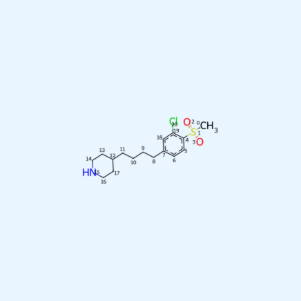 CS(=O)(=O)c1ccc(CCCCC2CCNCC2)cc1Cl